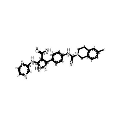 Cc1ccc2c(c1)CCN(C(=O)Nc1ccc(-c3n[nH]c(Nc4cnccn4)c3C(N)=O)cc1)C2